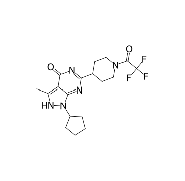 Cc1[nH]n(C2CCCC2)c2nc(C3CCN(C(=O)C(F)(F)F)CC3)nc(=O)c1-2